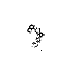 CN(Cc1nc2c(N3CCN(C(=O)OC(C)(C)C)CC3)cccc2[nH]1)C1CCCc2cccnc21